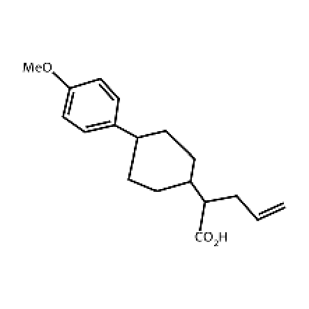 C=CCC(C(=O)O)C1CCC(c2ccc(OC)cc2)CC1